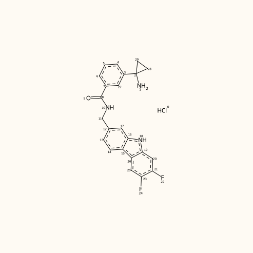 Cl.NC1(c2cccc(C(=O)NCc3ccc4c(c3)[nH]c3cc(F)c(F)cc34)c2)CC1